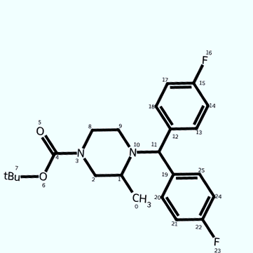 CC1CN(C(=O)OC(C)(C)C)CCN1C(c1ccc(F)cc1)c1ccc(F)cc1